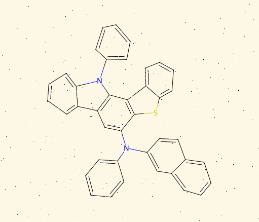 c1ccc(N(c2ccc3ccccc3c2)c2cc3c4ccccc4n(-c4ccccc4)c3c3c2sc2ccccc23)cc1